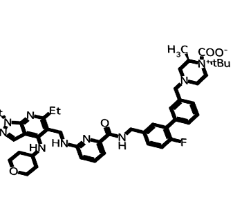 CCc1nc2c(cnn2CC)c(NC2CCOCC2)c1CNc1cccc(C(=O)NCc2ccc(F)c(-c3cccc(CN4CC[N+](C(=O)[O-])(C(C)(C)C)[C@H](C)C4)c3)c2)n1